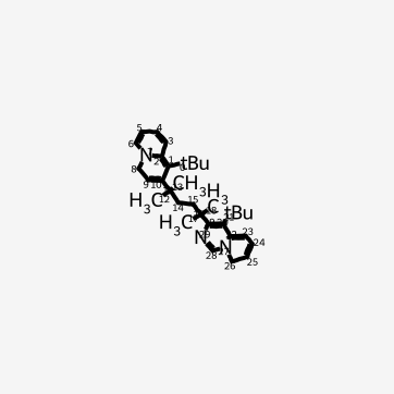 CC(C)(C)C1=C2C=CC=CN2CC=C1C(C)(C)CCC(C)(C)C1=C(C(C)(C)C)C2=CC=CCN2C=N1